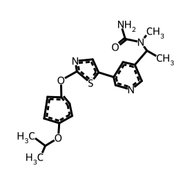 CC(C)Oc1ccc(Oc2ncc(-c3cncc(C(C)N(C)C(N)=O)c3)s2)cc1